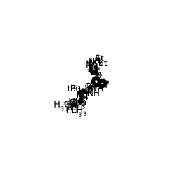 CCN(CC)c1nnc2ccc(O[C@@H]3CC[C@H](NC(=O)Nc4cc(C(C)(C)C)nc(C(=O)NCC(C)(C)N(C)C)n4)c4ccccc43)cn12